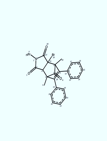 CCCN1C(=O)C2C3(C)C(=O)C(C)(C(c4ccccc4)=C3c3ccccc3)C2(Br)C1=O